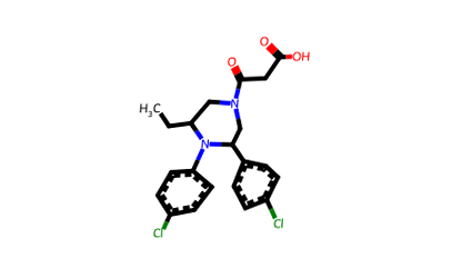 CCC1CN(C(=O)CC(=O)O)CC(c2ccc(Cl)cc2)N1c1ccc(Cl)cc1